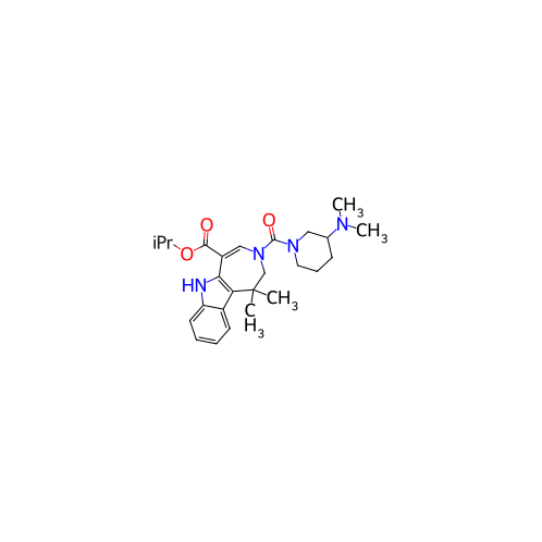 CC(C)OC(=O)C1=CN(C(=O)N2CCCC(N(C)C)C2)CC(C)(C)c2c1[nH]c1ccccc21